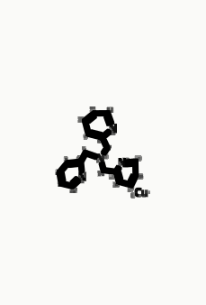 [Cu].c1ccc(CN(Cc2ccccn2)Cc2ccccn2)nc1